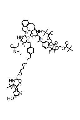 C/C(=C\C(=O)N[C@H]1CCc2cccc3c2N(C1=O)[C@H](C(=O)N[C@@H](CCC(N)=O)[C@@H](C)OCc1ccc(CCCOCCOCC(=O)N[C@H](C(=O)N2C[C@H](O)C[C@H]2C)C(C)(C)C)cc1)C3)c1ccc(C(F)(F)P(=O)(OCOC(=O)C(C)(C)C)OCOC(=O)C(C)(C)C)cc1